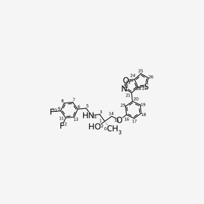 C[C@](O)(CNCc1ccc(F)c(F)c1)COc1cccc(-c2noc3ccsc23)c1